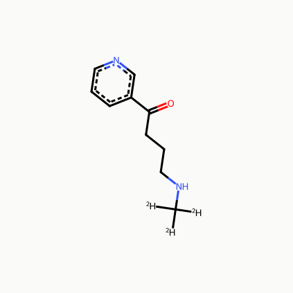 [2H]C([2H])([2H])NCCCC(=O)c1cccnc1